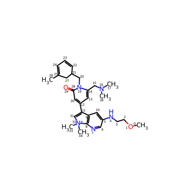 COCCNc1cnc2c(c1)C(c1cc(CN(C)C)n(CC3C=CC=C(C)C3)c(=O)c1)=C[N+]2(C)C